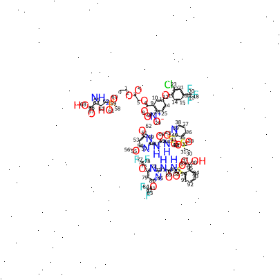 CCOC(=O)COC(=O)c1cc(Oc2ccc(C(F)(F)F)cc2Cl)ccc1[N+](=O)[O-].CCS(=O)(=O)c1cccnc1S(=O)(=O)NC(=O)Nc1nc(OC)cc(OC)n1.CP(=O)(O)CCC(N)C(=O)O.O=C(Nc1nc(OC(F)F)cc(OC(F)F)n1)NS(=O)(=O)c1ccccc1C(=O)O